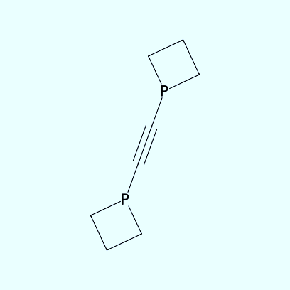 C(#CP1CCC1)P1CCC1